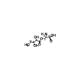 N[C@@H](COC(=O)[C@@H](O)[C@H](O)CO)C(=O)O